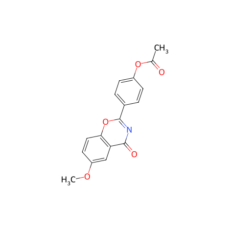 COc1ccc2oc(-c3ccc(OC(C)=O)cc3)nc(=O)c2c1